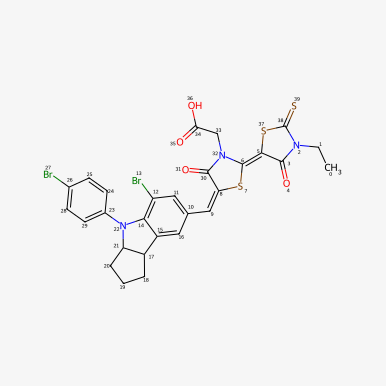 CCN1C(=O)/C(=c2\s/c(=C/c3cc(Br)c4c(c3)C3CCCC3N4c3ccc(Br)cc3)c(=O)n2CC(=O)O)SC1=S